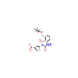 COC(=O)c1csc(-n2c(=O)[nH]c3cccc(CO[Si](C)(C)C(C)(C)C)c3c2=O)c1